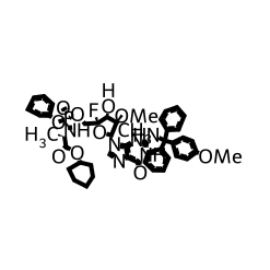 COc1ccc(C(Nc2nc3c(ncn3[C@@H]3O[C@](F)(COP(=O)(N[C@@H](C)C(=O)OC4CCCCC4)Oc4ccccc4)[C@@H](O)[C@@]3(C)OC)c(=O)[nH]2)(c2ccccc2)c2ccccc2)cc1